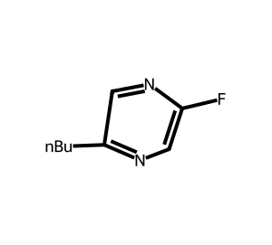 CCCCc1cnc(F)cn1